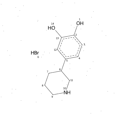 Br.Oc1ccc(C2CCCNC2)cc1O